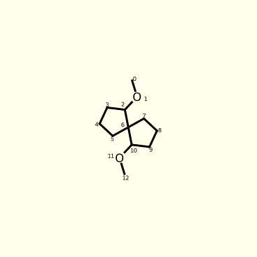 COC1CCCC12CCCC2OC